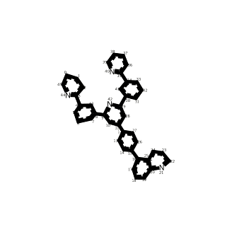 c1ccc(-c2cccc(-c3cc(-c4ccc(-c5cccc6ncccc56)cc4)cc(-c4cccc(-c5ccccn5)c4)n3)c2)nc1